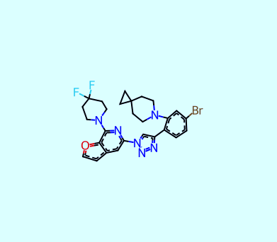 FC1(F)CCN(c2nc(-n3cc(-c4ccc(Br)cc4N4CCC5(CC4)CC5)nn3)cc3ccoc23)CC1